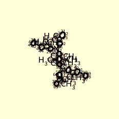 CC(C)(C)c1c2ccc(N(c3ccc4c(c3)C(C)(C)c3ccccc3-4)c3ccc4c(c3)C(C)(C)c3cc(-c5ccccc5)ccc3-4)cc2c(C(C)(C)C)c2ccc(N(c3ccc4c(c3)C(C)(C)c3ccccc3-4)c3ccc4c(c3)C(C)(C)c3cc(-c5ccccc5)ccc3-4)cc12